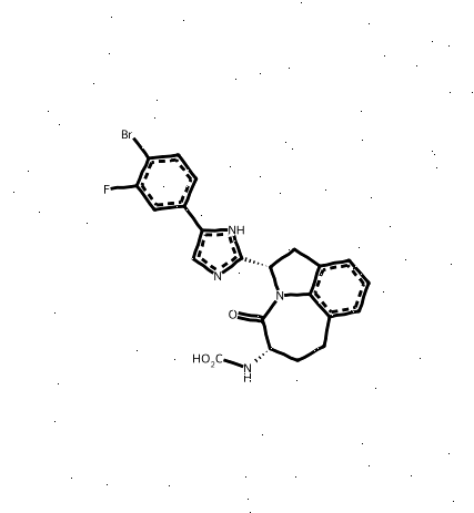 O=C(O)N[C@H]1CCc2cccc3c2N(C1=O)[C@H](c1ncc(-c2ccc(Br)c(F)c2)[nH]1)C3